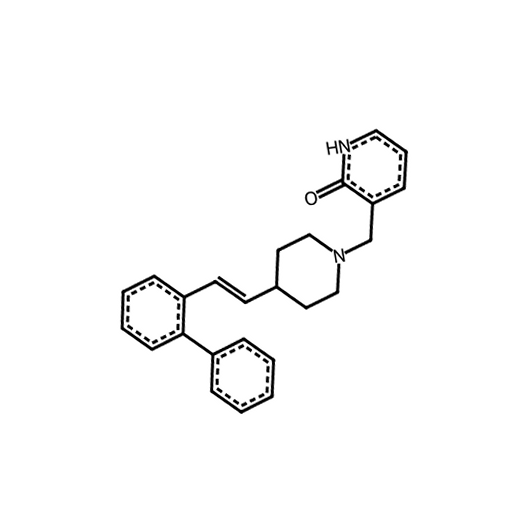 O=c1[nH]cccc1CN1CCC(C=Cc2ccccc2-c2ccccc2)CC1